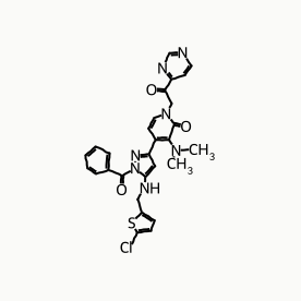 CN(C)c1c(-c2cc(NCc3ccc(Cl)s3)n(C(=O)c3ccccc3)n2)ccn(CC(=O)c2ccncn2)c1=O